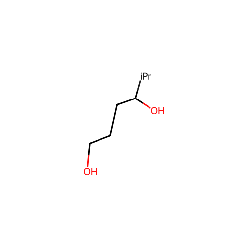 [CH2]C(C)C(O)CCCO